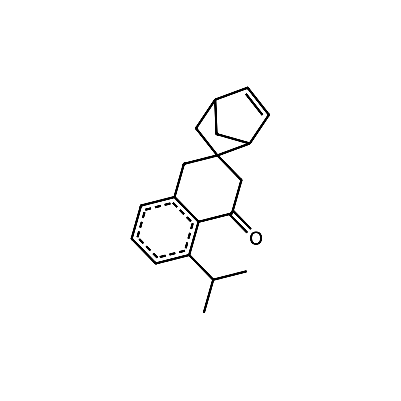 CC(C)c1cccc2c1C(=O)CC1(C2)CC2C=CC1C2